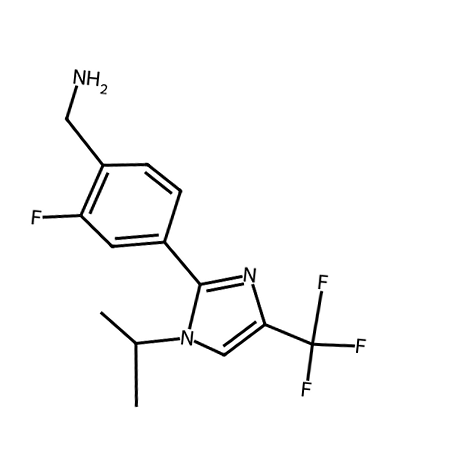 CC(C)n1cc(C(F)(F)F)nc1-c1ccc(CN)c(F)c1